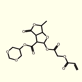 C=CC(=O)OCC(=O)OC1OC2C(C)OC(=O)C2C1C(=O)OC1COCOC1